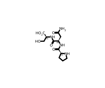 NC(=O)C[C@@H](NC(=O)[C@@H]1CCCN1)C(=O)N[C@@H](CO)C(=O)O